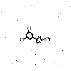 CCCc1nc(-c2cc(Cl)cc(Cl)c2)cs1